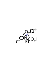 CCC(C(=O)O)n1/c(=N/C(=O)c2ccc(F)cc2)sc2ccc(Cl)cc21